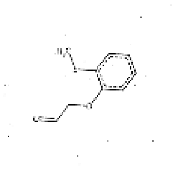 CSc1ccccc1OCC=O